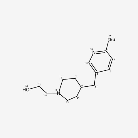 CC(C)(C)c1ccc(CC2CCN(CCO)CC2)cn1